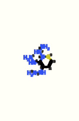 NNC1=C(NN)N(NN)SC=C1